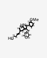 COc1cccc(-c2[nH]c3ncc(C#CCCO)cc3c2CN2CCOCC2)c1